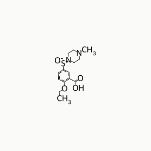 CCOc1ccc([S+]([O-])N2CCN(C)CC2)cc1C(=O)O